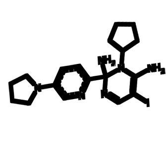 NC1=C(I)C=NC(N)(c2ccc(N3CCCC3)cn2)N1C1CCCC1